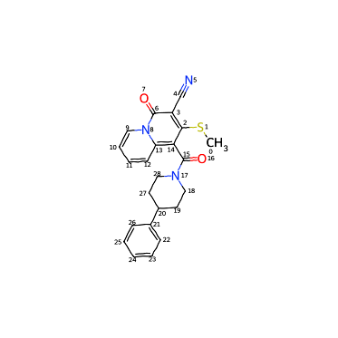 CSc1c(C#N)c(=O)n2ccccc2c1C(=O)N1CCC(c2ccccc2)CC1